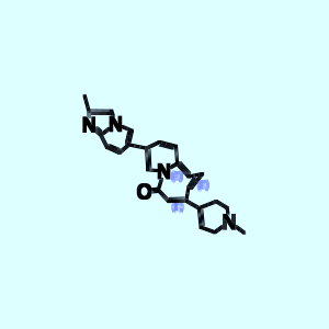 Cc1cn2cc(C3=CN4C(=O)\C=C(C5=CCN(C)CC5)/C=C/C=C/4C=C3)ccc2n1